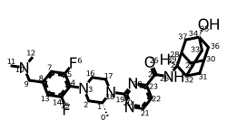 C[C@@H]1CN(c2c(F)cc(CN(C)C)cc2F)CCN1c1nccc(C(=O)N[C@H]2C3CC4CC2C[C@](O)(C4)C3)n1